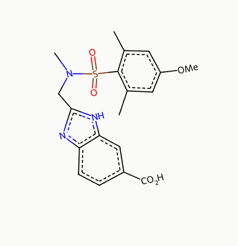 COc1cc(C)c(S(=O)(=O)N(C)Cc2nc3ccc(C(=O)O)cc3[nH]2)c(C)c1